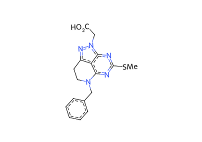 CSc1nc2c3c(nn(CC(=O)O)c3n1)CCN2Cc1ccccc1